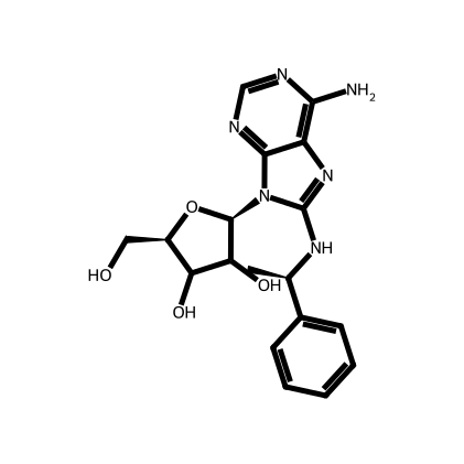 C[C@@H](Nc1nc2c(N)ncnc2n1[C@@H]1O[C@H](CO)C(O)C1O)c1ccccc1